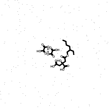 CCCCC(CC)COC(=O)CC(O)(CC(=O)O)C(=O)O.O=C(O)C(=O)O.O=C(O)C(=O)O